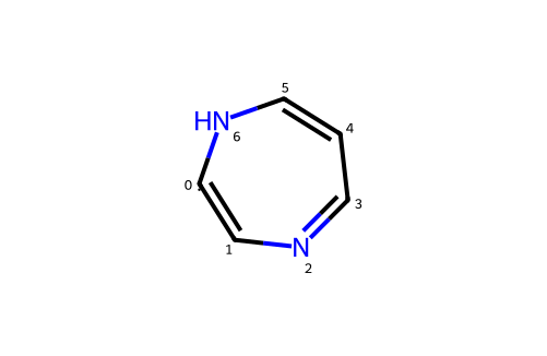 [C]1=CN=CC=CN1